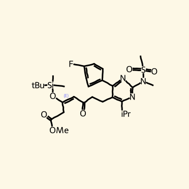 COC(=O)C/C(=C\C(=O)CCc1c(-c2ccc(F)cc2)nc(N(C)S(C)(=O)=O)nc1C(C)C)O[Si](C)(C)C(C)(C)C